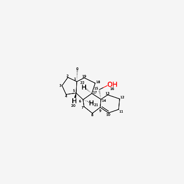 C[C@@]12CCC[C@H]1[C@@H]1CCC3=CCCC[C@]3(CO)[C@@H]1CC2